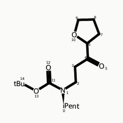 CCC[C@H](C)N(CCC(=O)C1CCCO1)C(=O)OC(C)(C)C